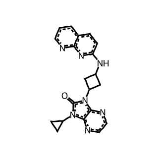 O=c1n(C2CC2)c2nccnc2n1C1CC(Nc2ccc3cccnc3n2)C1